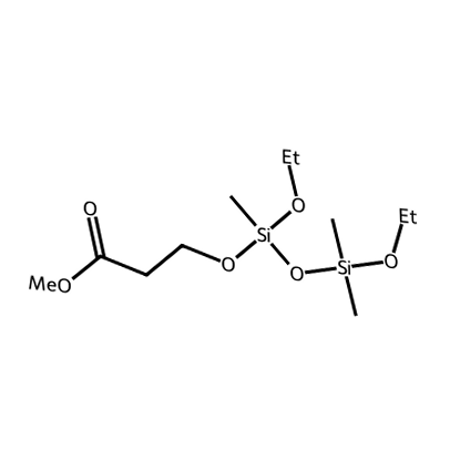 CCO[Si](C)(C)O[Si](C)(OCC)OCCC(=O)OC